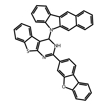 c1ccc2cc3c(cc2c1)c1ccccc1n3C1NC(c2ccc3c(c2)oc2ccccc23)=Nc2sc3ccccc3c21